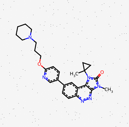 Cn1c(=O)n(C2(C)CC2)c2c3cc(-c4ccc(OCCCN5CCCCC5)nc4)ccc3nnc21